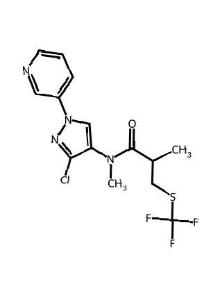 CC(CSC(F)(F)F)C(=O)N(C)c1cn(-c2cccnc2)nc1Cl